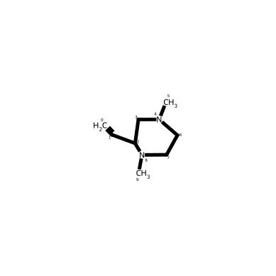 C=CC1CN(C)CCN1C